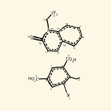 Cc1c(Br)cc(C(=O)O)cc1C(=O)O.O=c1ccc2ccccc2n1CC(F)(F)F